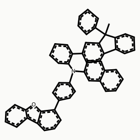 CC1(c2ccccc2)c2ccccc2-c2ccc(-c3ccccc3N(c3ccc(-c4cccc5c4oc4ccccc45)cc3)c3ccc4ccccc4c3)cc21